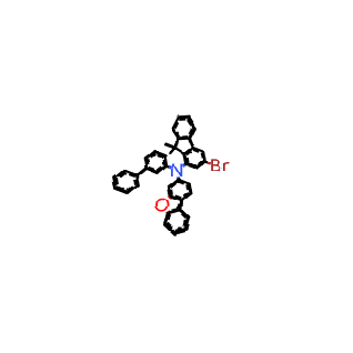 CC1(C)c2ccccc2-c2cc(Br)cc(N(c3cccc(-c4ccccc4)c3)c3ccc4c(c3)oc3ccccc34)c21